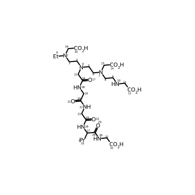 CCN(CCN(CCN(CCNCC(=O)O)CC(=O)O)CC(=O)NCC(=O)NCC(=O)NC(C(=O)NCC(=O)O)C(C)C)CC(=O)O